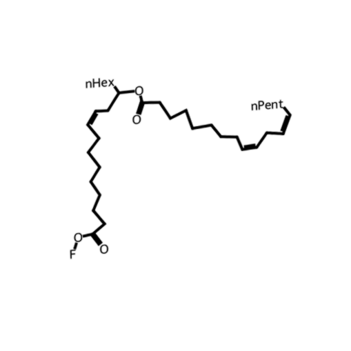 CCCCC/C=C\C/C=C\CCCCCCCC(=O)OC(C/C=C\CCCCCCCC(=O)OF)CCCCCC